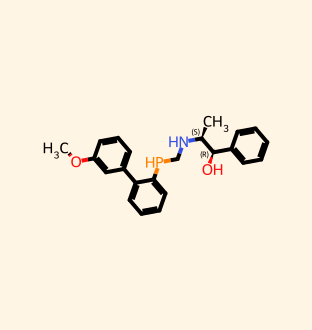 COc1cccc(-c2ccccc2PCN[C@@H](C)[C@H](O)c2ccccc2)c1